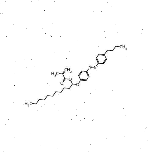 C=C(C)C(=O)OC(CCCCCCCCCC)Oc1ccc(N=Nc2ccc(CCCC)cc2)cc1